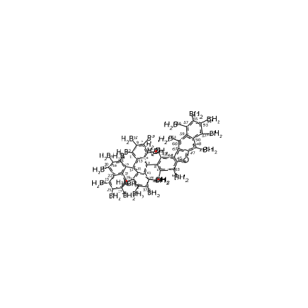 Bc1c(-c2c3c(B)c(B)c(B)c(B)c3c(-c3c(B)c(B)c(B)c4c(B)c(B)c(B)c(B)c34)c3c(B)c(B)c(B)c(B)c23)c(B)c2c(oc3c(B)c4c(B)c(B)c(B)c(B)c4c(B)c32)c1B